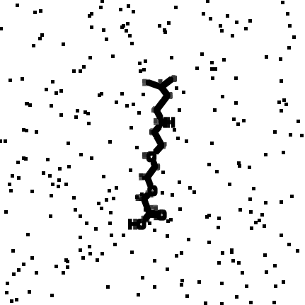 CC(C)CCNCCOCCOCC(=O)O